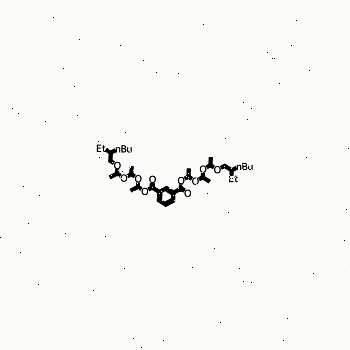 CCCCC(CC)COC(C)OC(C)OC(C)OC(=O)c1cccc(C(=O)OC(C)OC(C)OC(C)OCC(CC)CCCC)c1